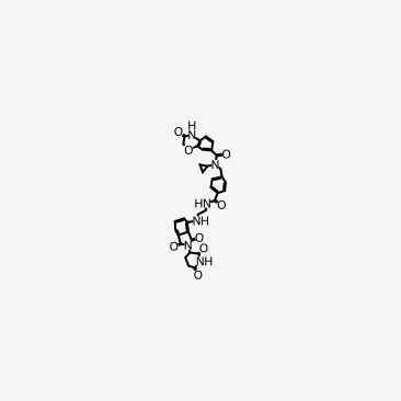 O=C1CCC(N2C(=O)c3cccc(NCCNC(=O)c4ccc(CN(C(=O)c5ccc6c(c5)OCC(=O)N6)C5CC5)cc4)c3C2=O)C(=O)N1